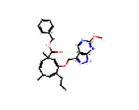 CCCC1=C/C(C)/C=C\C(C)(C(=O)OCc2ccccc2)/C=C\1OCc1n[nH]c2nc(OC)ncc12